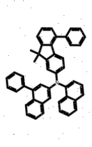 CC1(C)c2cc(N(c3cc(-c4ccccc4)c4ccccc4c3)c3cccc4ccccc34)ccc2-c2c(-c3ccccc3)cccc21